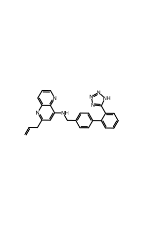 C=CCc1cc(NCc2ccc(-c3ccccc3-c3nnn[nH]3)cc2)c2ncccc2n1